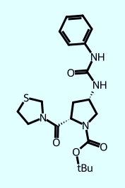 CC(C)(C)OC(=O)N1C[C@@H](NC(=O)Nc2ccccc2)C[C@H]1C(=O)N1CCSC1